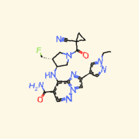 CCn1cc(-c2cn3ncc(C(N)=O)c(N[C@@H]4CN(C(=O)C5(C#N)CC5)C[C@H]4CF)c3n2)cn1